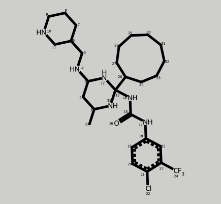 CC1CC(NCC2CCCNC2)NC(NC(=O)Nc2ccc(Cl)c(C(F)(F)F)c2)(C2CCCCCCCC2)N1